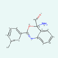 Cc1cccc(C2=Nc3ccccc3C(N)(C=O)O2)c1